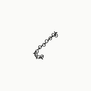 C=C(C)C(=O)OCCOCCOCCOCCOCCOCC(C)OCC(C)OCC(C)OC